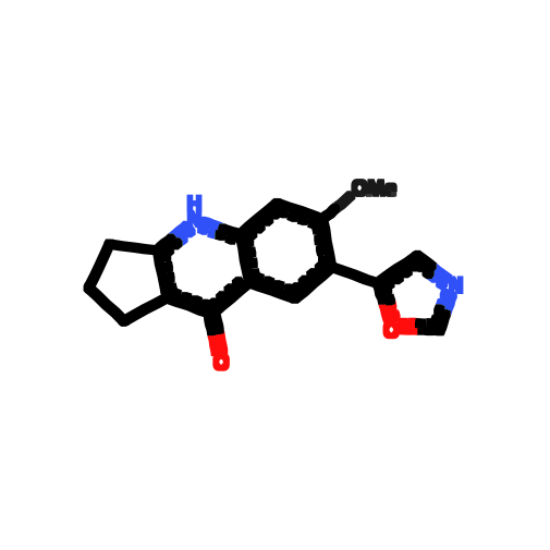 COc1cc2[nH]c3c(c(=O)c2cc1-c1cnco1)CCC3